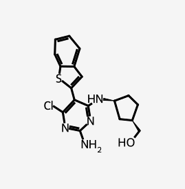 Nc1nc(Cl)c(-c2cc3ccccc3s2)c(N[C@H]2CC[C@@H](CO)C2)n1